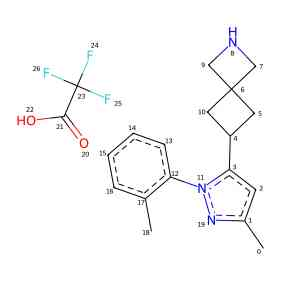 Cc1cc(C2CC3(CNC3)C2)n(-c2ccccc2C)n1.O=C(O)C(F)(F)F